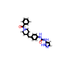 O=C(Nc1ccc(CC2CCN(C(=O)c3ccccc3)CC2)cc1)Nc1ccn[nH]1